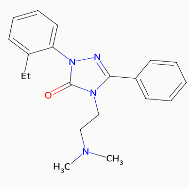 CCc1ccccc1-n1nc(-c2ccccc2)n(CCN(C)C)c1=O